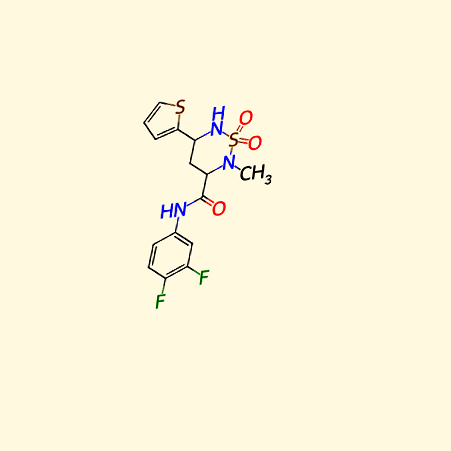 CN1C(C(=O)Nc2ccc(F)c(F)c2)CC(c2cccs2)NS1(=O)=O